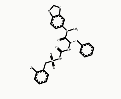 CN(C(=O)[C@H](Cc1ccccc1)NC(=O)NS(=O)(=O)Cc1ccccc1Cl)c1ccc2c(c1)OCO2